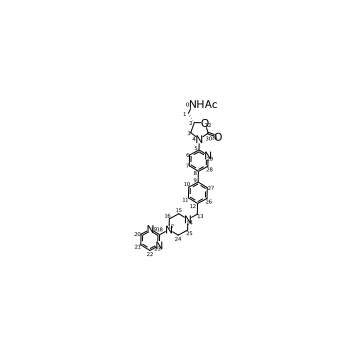 CC(=O)NC[C@H]1CN(c2ccc(-c3ccc(CN4CCN(c5ncccn5)CC4)cc3)cn2)C(=O)O1